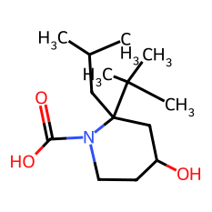 CC(C)CC1(C(C)(C)C)CC(O)CCN1C(=O)O